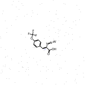 [N-]=[N+]=N/C(=C\c1ccc(OC(F)(F)F)cc1)C(=O)O